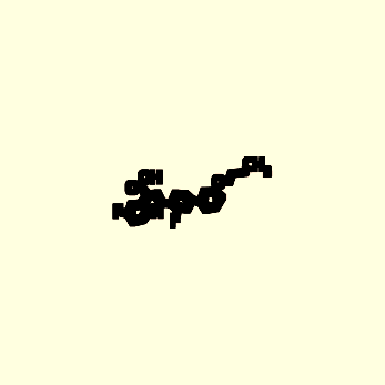 CCCCOc1cccc(-c2ccc(-c3cc(C(=O)O)c4cc(F)ccc4n3)c(F)c2)c1